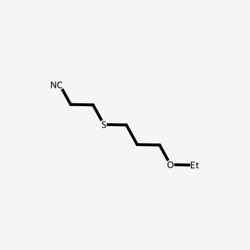 CCOCCCSCCC#N